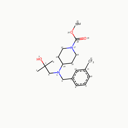 CC(C)(O)CN(Cc1cccc(C(F)(F)F)c1)C1CCN(C(=O)OC(C)(C)C)CC1